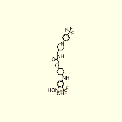 O=C(COC1CCC(Nc2ccc(N(O)O)c(C(F)(F)F)c2)CC1)NCC1CCN(c2ccc(C(F)(F)F)cc2)CC1